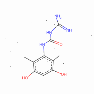 Cc1c(O)cc(O)c(C)c1NC(=O)NC(=N)N